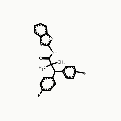 CC(C)(C(=O)Nc1nc2ccccc2s1)C(c1ccc(F)cc1)c1ccc(F)cc1